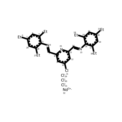 CCc1cc(CC)c(N=Cc2cc(Cl)cc(C=Nc3c(CC)cc(CC)cc3CC)n2)c(CC)c1.[Cl-].[Cl-].[Cl-].[Nd+3]